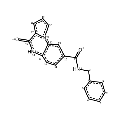 O=C(NCc1ccccc1)c1ccc2[nH]c(=O)c3cccn3c2c1